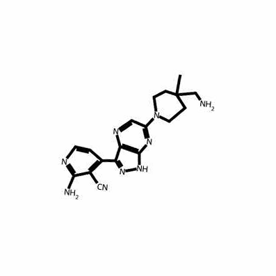 CC1(CN)CCN(c2cnc3c(-c4ccnc(N)c4C#N)n[nH]c3n2)CC1